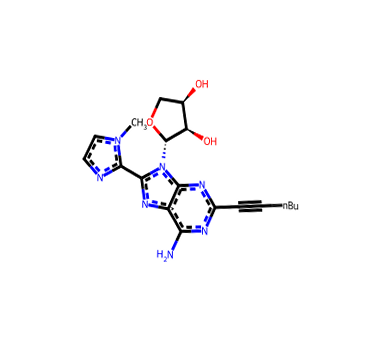 CCCCC#Cc1nc(N)c2nc(-c3nccn3C)n([C@@H]3OC[C@@H](O)[C@H]3O)c2n1